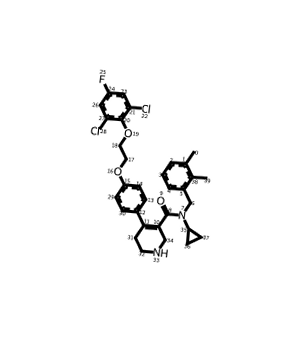 Cc1cccc(CN(C(=O)C2=C(c3ccc(OCCOc4c(Cl)cc(F)cc4Cl)cc3)CCNC2)C2CC2)c1C